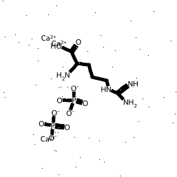 N=C(N)NCCCC(N)C(=O)O.O=P([O-])([O-])[O-].O=P([O-])([O-])[O-].[Ca+2].[Ca+2].[Ca+2]